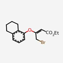 CCOC(=O)C=C(CBr)Oc1cccc2c1CCCC2